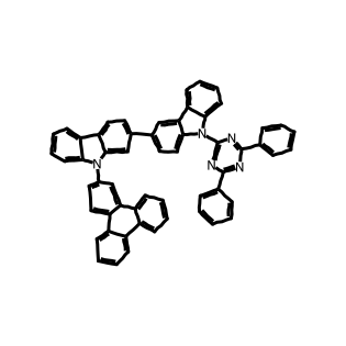 c1ccc(-c2nc(-c3ccccc3)nc(-n3c4ccccc4c4cc(-c5ccc6c7ccccc7n(-c7ccc8c9ccccc9c9ccccc9c8c7)c6c5)ccc43)n2)cc1